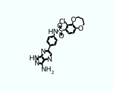 Nc1n[nH]c2nc(-c3ccc(NS(=O)(=O)c4ccc5c(c4Cl)OCCCO5)cc3)cnc12